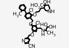 Cc1ccccc1-c1ccc(COc2cc(OCc3cncc(C#N)c3)cc(CNC(C)C(O)O)c2Cl)c(OCCCC2CNCCC2(O)C(=O)O)c1Cl